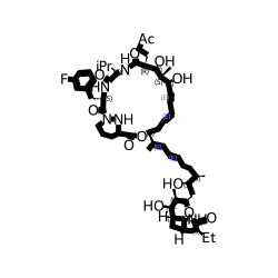 CC[C@H]1C[C@@H]2C[C@H]3[C@@H](O)[C@@H](C)[C@H](C[C@H](O)[C@@H](C)CC/C=C/C=C(\C)[C@@H]4C/C=C/C=C/[C@H](O)[C@H](C)[C@@H](O)[C@@H](CCC(C)=O)C(=O)N[C@@H](C(C)C)C(=O)N[C@@H](Cc5cccc(F)c5)C(=O)N5CCCC(N5)C(=O)O4)O[C@]23NC1=O